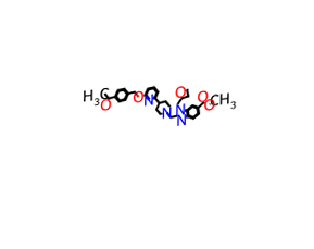 COC(=O)c1ccc2nc(CN3CCC(c4cccc(OCc5ccc(C(C)=O)cc5)n4)CC3)n(CC3CCO3)c2c1